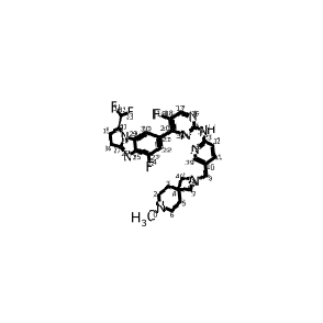 CN1CCC2(CC1)CN(Cc1ccc(Nc3ncc(F)c(-c4cc(F)c5nc6n(c5c4)[C@H](C(F)F)CC6)n3)nc1)C2